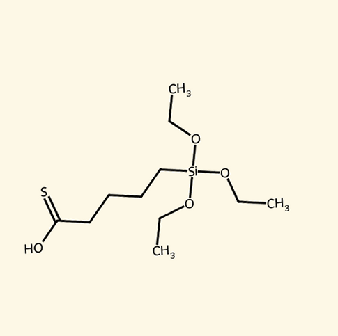 CCO[Si](CCCCC(O)=S)(OCC)OCC